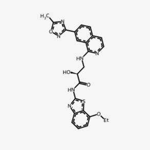 CCOc1cccc2nc(NC(=O)[C@@H](O)CNc3nccc4ccc(-c5noc(C)n5)cc34)sc12